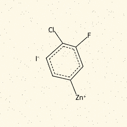 Fc1c[c]([Zn+])ccc1Cl.[I-]